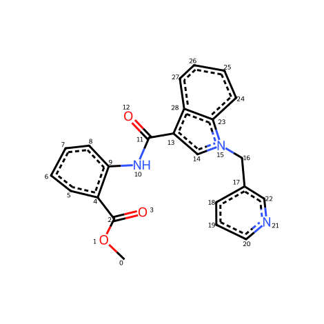 COC(=O)c1ccccc1NC(=O)c1cn(Cc2cccnc2)c2ccccc12